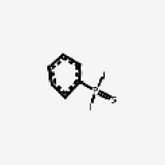 S=P(I)(I)c1ccccc1